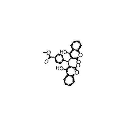 COC(=O)c1ccc(C(c2c(O)c3ccccc3oc2=O)c2c(O)c3ccccc3oc2=O)cc1